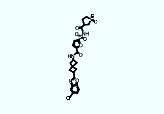 O=C(NC1CC2(C1)CC(c1nc3cc(Cl)ccc3o1)C2)c1ccc(S(=O)(=O)NC(=O)C2CCS(=O)(=O)C2)o1